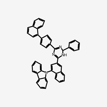 c1ccc(C2N=C(c3ccc(-c4cccc5ccccc45)cc3)N=C(c3cc(-n4c5ccccc5c5ccccc54)c4ccccc4c3)N2)cc1